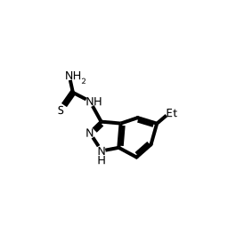 CCc1ccc2[nH]nc(NC(N)=S)c2c1